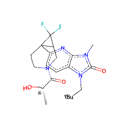 C[C@H](O)C(=O)N1CCC2(c3ccc4c(n3)n(C)c(=O)n4CC(C)(C)C)C(C1)C2(F)F